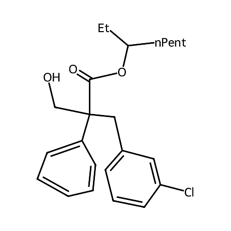 CCCCCC(CC)OC(=O)C(CO)(Cc1cccc(Cl)c1)c1ccccc1